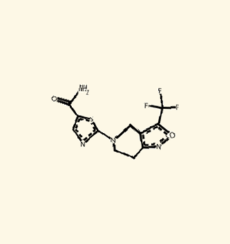 NC(=O)c1cnc(N2CCc3noc(C(F)(F)F)c3C2)s1